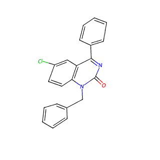 O=c1nc(-c2ccccc2)c2cc(Cl)ccc2n1Cc1ccccc1